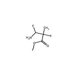 CC(F)(C(=O)OF)C(N)F